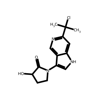 CC(C)(Cl)c1cc2[nH]cc(N3CCC(O)C3=O)c2cn1